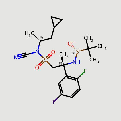 C[C@H](CC1CC1)N(C#N)S(=O)(=O)C[C@](C)(N[S@+]([O-])C(C)(C)C)c1cc(I)ccc1F